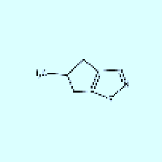 CC1Cc2cnsc2C1